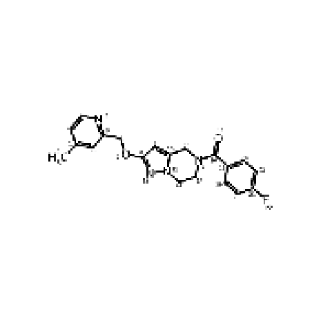 Cc1ccnc(COc2cc3n(n2)CCN(C(=O)c2ccc(F)cc2)C3)c1